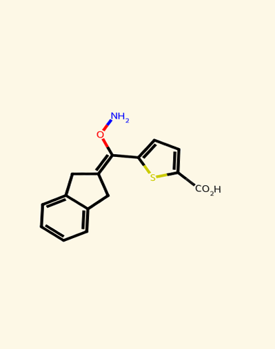 NOC(=C1Cc2ccccc2C1)c1ccc(C(=O)O)s1